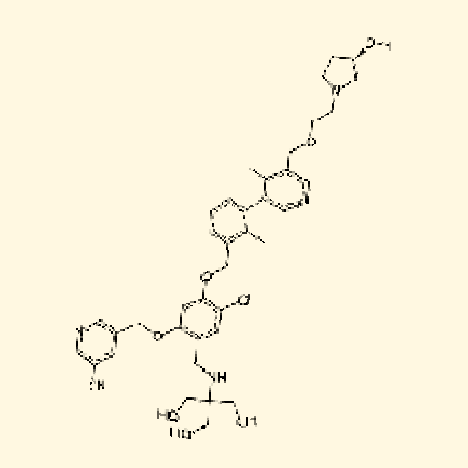 Cc1c(COCCN2CC[C@@H](OI)C2)cccc1-c1cccc(COc2cc(OCc3cncc(C#N)c3)c(CNC(CO)(CO)CO)cc2Cl)c1C